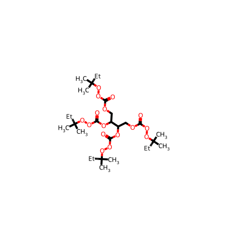 CCC(C)(C)OOC(=O)OCC(OC(=O)OOC(C)(C)CC)C(COC(=O)OOC(C)(C)CC)OC(=O)OOC(C)(C)CC